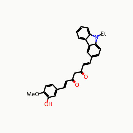 CCn1c2ccccc2c2cc(C=CC(=O)CC(=O)C=Cc3ccc(OC)c(O)c3)ccc21